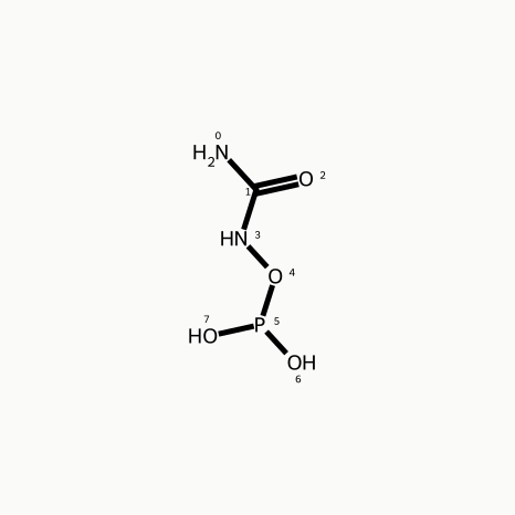 NC(=O)NOP(O)O